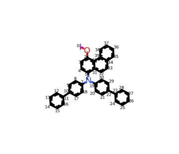 IOc1ccc(N(c2ccc(-c3ccccc3)cc2)c2ccc(-c3ccccc3)cc2)c2ccc3ccccc3c12